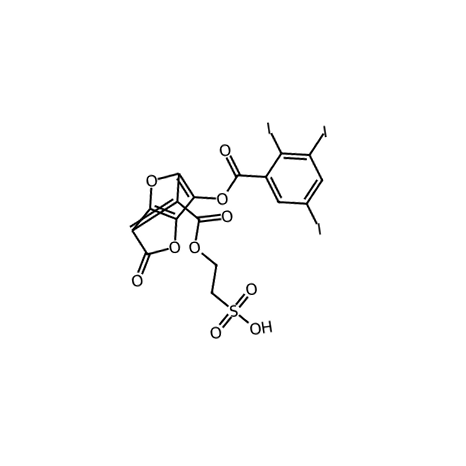 O=C(Oc1c2c3oc1c(C(=O)OCCS(=O)(=O)O)c3C(=O)O2)c1cc(I)cc(I)c1I